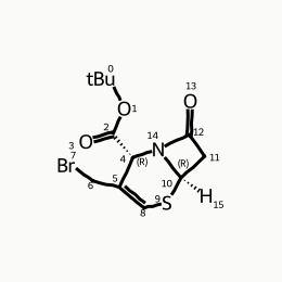 CC(C)(C)OC(=O)[C@H]1C(CBr)=CS[C@@H]2CC(=O)N12